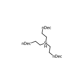 CCCCCCCCCCCC[SiH](CCCCCCCCCCCC)CCCCCCCCCCCC